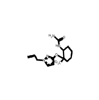 C=CCn1ccc(OC2(C(=O)O)CCCCC2NC(N)=O)n1